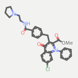 COC(=O)c1c(Cc2ccc(C(=O)NCCN3CCCC3)cc2)c(=O)c2ccc(Cl)cc2n1-c1ccccc1